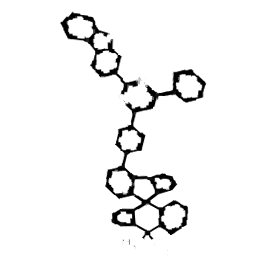 CC1(C)c2ccccc2C2(c3ccccc3-c3c(-c4ccc(-c5cc(-c6ccccc6)nc(-c6ccc7c(c6)sc6ccccc67)n5)cc4)cccc32)c2ccccc21